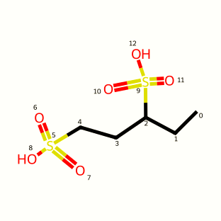 CCC(CCS(=O)(=O)O)S(=O)(=O)O